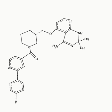 NC1=NS(O)(O)Nc2cccc(OC[C@H]3CCCN(C(=O)c4ccnc(-c5ccc(F)cc5)c4)C3)c21